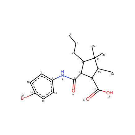 CCCC1C(C(=O)Nc2ccc(Br)cc2)C(C(=O)O)C(C)C1(C)C